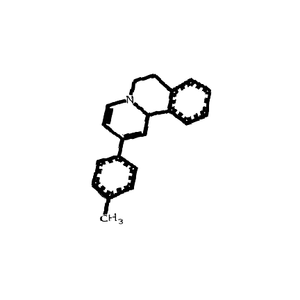 Cc1ccc(C2=CC3c4ccccc4CCN3C=C2)cc1